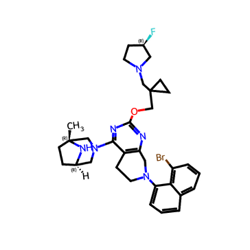 C[C@@]12CC[C@H](CN(c3nc(OCC4(CN5CC[C@@H](F)C5)CC4)nc4c3CCN(c3cccc5cccc(Br)c35)C4)C1)N2